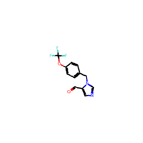 O=Cc1cncn1Cc1ccc(OC(F)(F)F)cc1